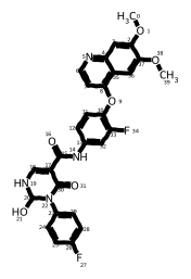 COc1cc2nccc(Oc3ccc(NC(=O)C4=CNC(O)N(c5ccc(F)cc5)C4=O)cc3F)c2cc1OC